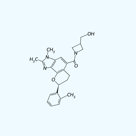 Cc1ccccc1[C@@H]1CCc2c(C(=O)N3CC(CO)C3)cc3c(nc(C)n3C)c2O1